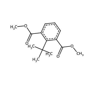 COC(=O)c1cccc(C(=O)OC)c1C(C)(C)C